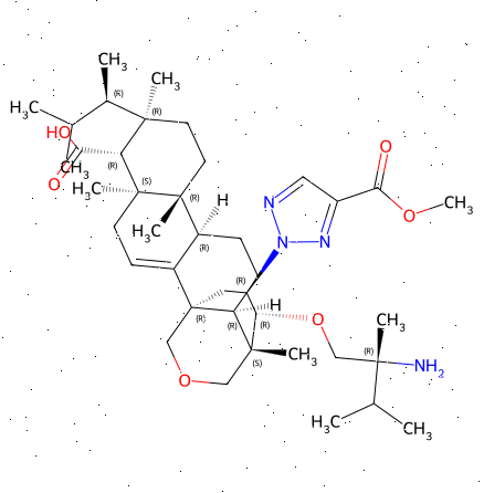 COC(=O)c1cnn([C@@H]2C[C@@]34COC[C@](C)([C@@H]3CC[C@H]3C4=CC[C@@]4(C)[C@H](C(=O)O)[C@@](C)([C@H](C)C(C)C)CC[C@]34C)[C@H]2OC[C@](C)(N)C(C)C)n1